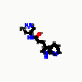 CC(C)C[C@@H](CN)NC(=O)C=Cc1c[nH]c2ncccc12